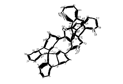 c1ccc2c(c1)-c1ccc(-c3cc4ccc5cccnc5c4cn3)cc1C21c2ccccc2-c2ccc(-c3ccc4ccc5cccnc5c4n3)cc21